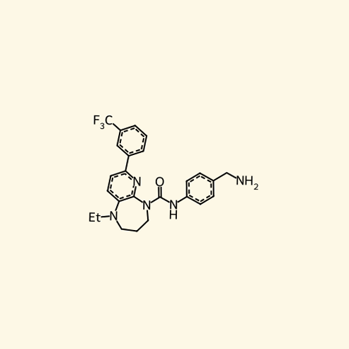 CCN1CCCN(C(=O)Nc2ccc(CN)cc2)c2nc(-c3cccc(C(F)(F)F)c3)ccc21